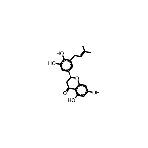 CC(C)=CCc1cc([C@@H]2CC(=O)c3c(O)cc(O)cc3O2)cc(O)c1O